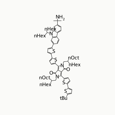 CCCCCCCCC(CCCCCC)CN1C(=O)C2=C(c3ccc(-c4ccc(C(C)(C)C)s4)s3)N(CC(CCCCCC)CCCCCCCC)C(=O)C2=C1c1ccc(-c2ccc(-c3ccc4c5ccc(C(C)(C)N)cc5n(C(CCCCCC)CCCCCC)c4c3)s2)s1